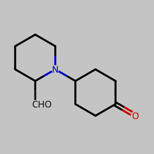 O=CC1CCCCN1C1CCC(=O)CC1